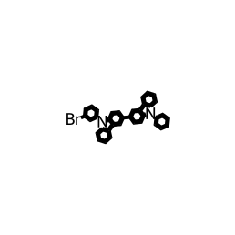 Brc1cccc(-n2c3ccccc3c3cc(-c4ccc5c(c4)c4ccccc4n5-c4ccccc4)ccc32)c1